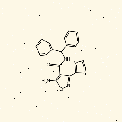 Nc1onc(-c2nccs2)c1C(=O)NC(c1ccccc1)c1ccccc1